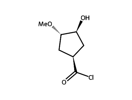 CO[C@H]1C[C@H](C(=O)Cl)C[C@@H]1O